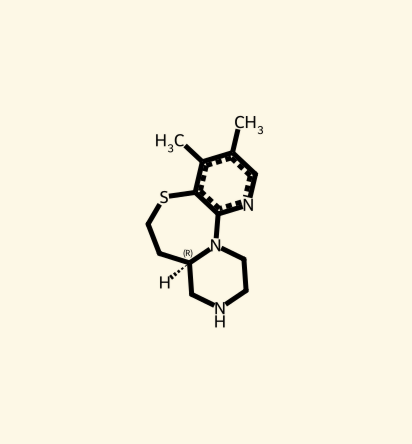 Cc1cnc2c(c1C)SCC[C@@H]1CNCCN21